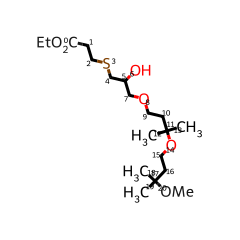 CCOC(=O)CCSCC(O)COCCC(C)(C)OCCC(C)(C)OC